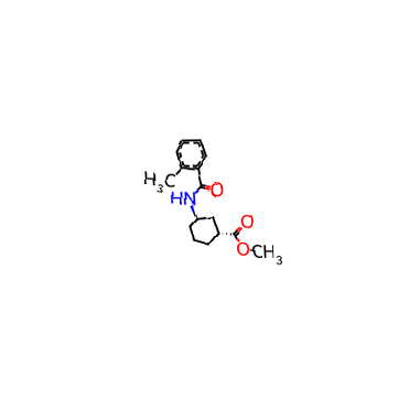 COC(=O)[C@@H]1CCC[C@@H](NC(=O)c2ccccc2C)C1